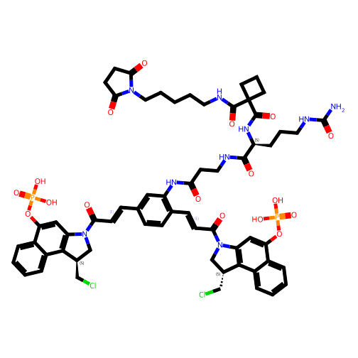 NC(=O)NCCC[C@H](NC(=O)C1(C(=O)NCCCCCN2C(=O)CCC2=O)CCC1)C(=O)NCCC(=O)Nc1cc(/C=C/C(=O)N2C[C@@H](CCl)c3c2cc(OP(=O)(O)O)c2ccccc32)ccc1/C=C/C(=O)N1C[C@@H](CCl)c2c1cc(OP(=O)(O)O)c1ccccc21